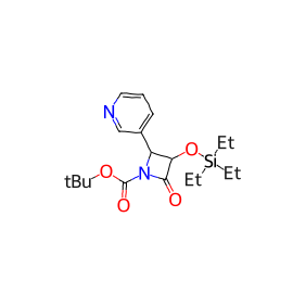 CC[Si](CC)(CC)OC1C(=O)N(C(=O)OC(C)(C)C)C1c1cccnc1